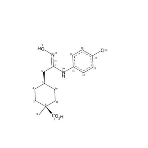 C[C@]1(C(=O)O)CC[C@@H](C/C(=N\O)Nc2ccc(Cl)cc2)CC1